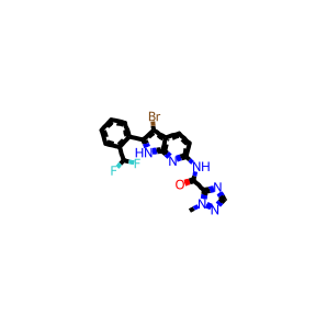 Cn1ncnc1C(=O)Nc1ccc2c(Br)c(-c3ccccc3C(F)F)[nH]c2n1